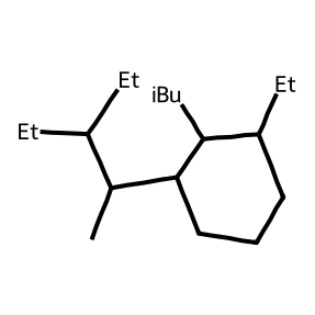 CCC(C)C1C(CC)CCCC1C(C)C(CC)CC